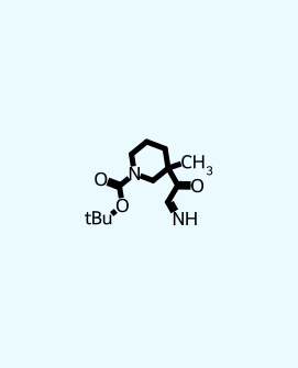 CC(C)(C)OC(=O)N1CCCC(C)(C(=O)C=N)C1